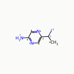 CC(I)c1cnc(N)cn1